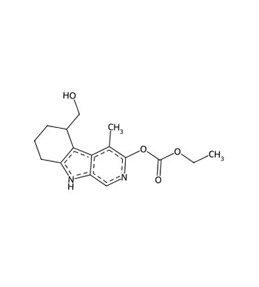 CCOC(=O)Oc1ncc2[nH]c3c(c2c1C)C(CO)CCC3